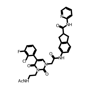 CC(=O)NCCn1c(=O)c(-c2cccc(F)c2Cl)cn(CC(=O)Nc2ccc3c(c2)CC(C(=O)Nc2ccccn2)C3)c1=O